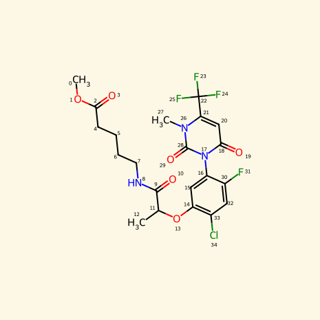 COC(=O)CCCCNC(=O)C(C)Oc1cc(-n2c(=O)cc(C(F)(F)F)n(C)c2=O)c(F)cc1Cl